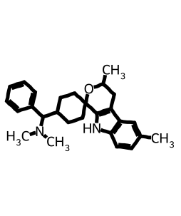 Cc1ccc2[nH]c3c(c2c1)CC(C)OC31CCC(C(c2ccccc2)N(C)C)CC1